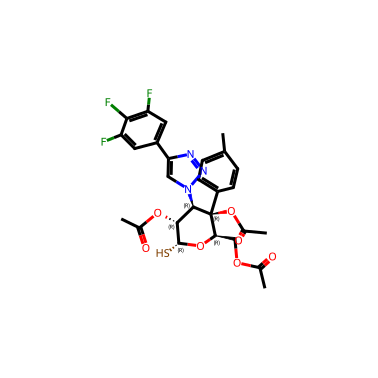 CC(=O)OC[C@H]1O[C@H](S)[C@H](OC(C)=O)[C@@H](n2cc(-c3cc(F)c(F)c(F)c3)nn2)[C@]1(OC(C)=O)c1ccc(C)cc1